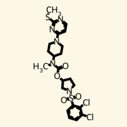 CSc1nccc(N2CCC(N(C)C(=O)OC3CCN(S(=O)(=O)c4cccc(Cl)c4Cl)C3)CC2)n1